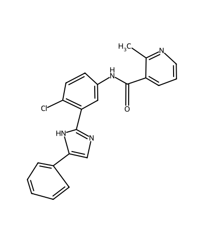 Cc1ncccc1C(=O)Nc1ccc(Cl)c(-c2ncc(-c3ccccc3)[nH]2)c1